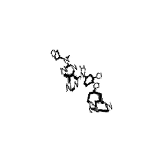 CN(c1ncc2ncnc(Nc3ccc(Oc4ccn5ncnc5c4)c(Cl)c3)c2n1)C1COC1